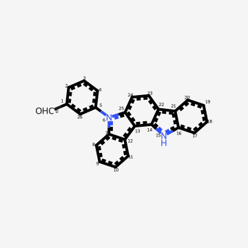 O=Cc1cccc(-n2c3ccccc3c3c4[nH]c5ccccc5c4ccc32)c1